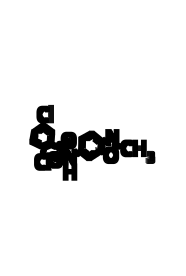 Cc1nc2ccc(NS(=O)(=O)c3cc(Cl)ccc3Cl)cc2o1